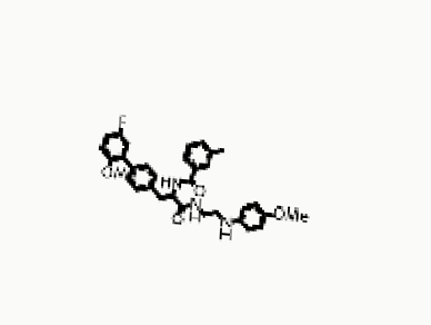 COc1ccc(NCCNC(=O)C(Cc2ccc(-c3cc(F)ccc3OC)cc2)NC(=O)c2cccc(C)c2)cc1